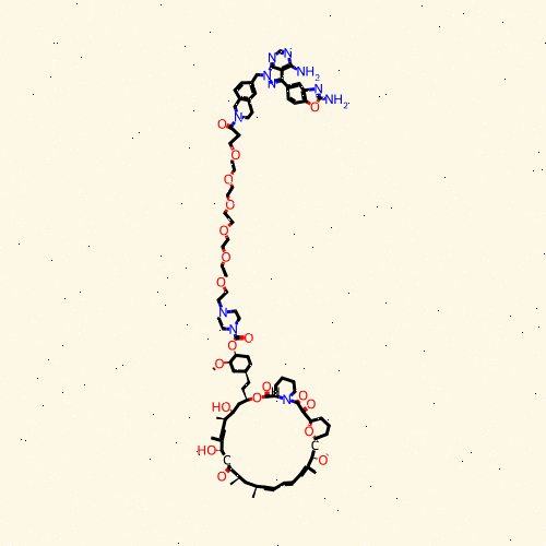 CO[C@H]1CC2CCCC(O2)C(=O)C(=O)N2CCCC[C@H]2C(=O)O[C@H](CC[C@@H]2CC[C@@H](OC(=O)N3CCN(CCOCCOCCOCCOCCOCCOCCC(=O)N4CCc5cc(Cn6nc(-c7ccc8oc(N)nc8c7)c7c(N)ncnc76)ccc5C4)CC3)[C@H](OC)C2)C[C@@H](O)[C@H](C)/C=C(\C)[C@@H](O)CC(=O)[C@H](C)C[C@H](C)/C=C/C=C/C=C/1C